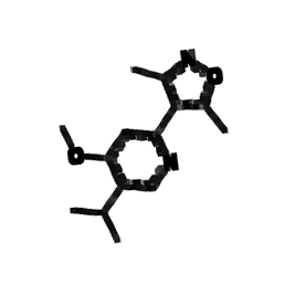 COc1cc(-c2c(C)noc2C)ncc1C(C)C